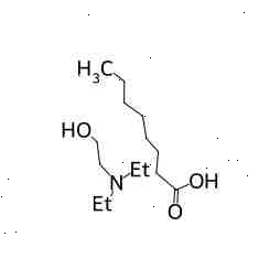 CCCCCCCC(=O)O.CCN(CC)CCO